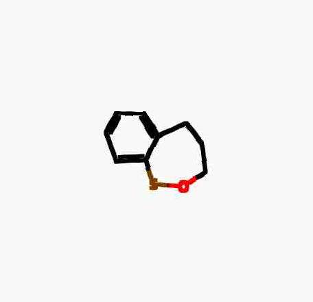 c1ccc2c(c1)CCCOS2